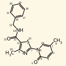 Cc1ccc(=O)n(-c2nc(C)c(C(=O)NCc3ccccc3)s2)c1